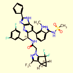 Cn1nc(NS(C)(=O)=O)c2cccc(-c3cc4[nH]c(-c5ccccc5)nc4nc3[C@H](Cc3cc(F)cc(F)c3)NC(=O)Cn3nc(C(F)(F)F)c4c3C(F)(F)[C@@H]3C[C@H]43)c21